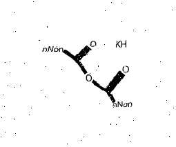 CCCCCCCCCC(=O)OC(=O)CCCCCCCCC.[KH]